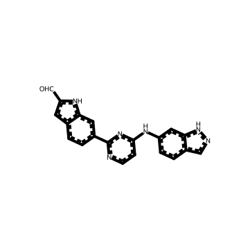 O=Cc1cc2ccc(-c3nccc(Nc4ccc5cn[nH]c5c4)n3)cc2[nH]1